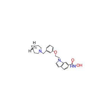 O=C(NO)c1ccc2ccn(CCOc3cccc(CN4CC[C@@H]5C[C@H]5CC4)c3)c2c1